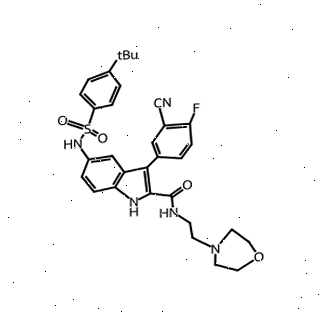 CC(C)(C)c1ccc(S(=O)(=O)Nc2ccc3[nH]c(C(=O)NCCN4CCOCC4)c(-c4ccc(F)c(C#N)c4)c3c2)cc1